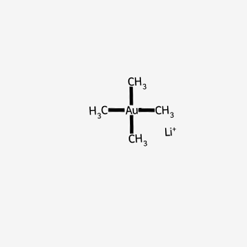 [CH3][Au-]([CH3])([CH3])[CH3].[Li+]